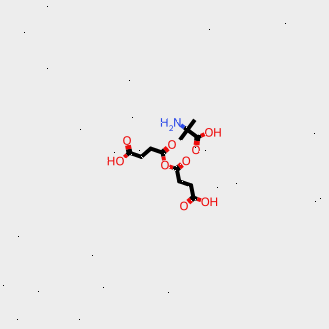 CC(C)(N)C(=O)O.O=C(O)CCC(=O)OC(=O)CCC(=O)O